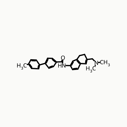 Cc1ccc(-c2ccc(C(=O)Nc3ccc4c(c3)CCC(CN(C)C)=C4)cc2)cc1